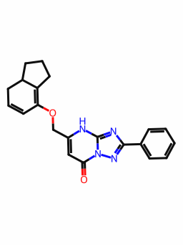 O=c1cc(COC2=C3CCCC3CC=C2)[nH]c2nc(-c3ccccc3)nn12